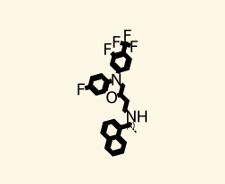 C[C@@H](NCCC1CN(c2ccc(C(F)(F)F)c(F)c2)c2ccc(F)cc2O1)c1cccc2ccccc12